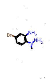 CN(N)c1ccc(Br)cc1N